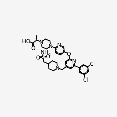 CC(C(=O)O)N1CCN(c2ccc(Oc3cc(CN4CCC(CS(N)(=O)=O)CC4)cc(-c4cc(Cl)cc(Cl)c4)n3)cn2)CC1